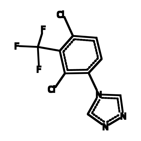 FC(F)(F)c1c(Cl)ccc(-n2cnnc2)c1Cl